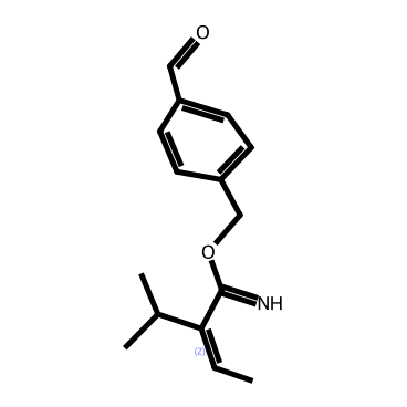 C/C=C(\C(=N)OCc1ccc(C=O)cc1)C(C)C